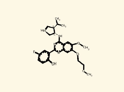 COCCOc1cc2nc(-c3cc(F)ccc3O)nc(N[C@@H]3CNC[C@H]3C(C)C)c2cc1OC